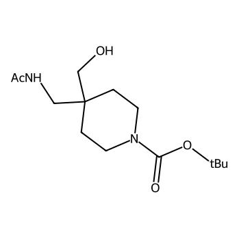 CC(=O)NCC1(CO)CCN(C(=O)OC(C)(C)C)CC1